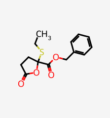 CCSC1(C(=O)OCc2ccccc2)CCC(=O)O1